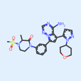 CC1C(=O)N(c2cccc(-c3cc(-c4ccnn4C4CCOCC4)c4c(N)ncnn34)c2)CCN1S(C)(=O)=O